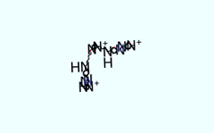 Cn1cc[n+](C)c1/N=N/c1ccc(NCCCCCCn2cc[n+](CCCNc3ccc(/N=N/c4cc[n+](C)cc4)cc3)c2)cc1